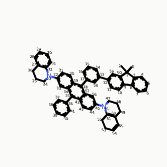 CC1(C)c2ccccc2-c2ccc(-c3cccc(-c4c5ccc(N6CCCc7ccccc76)cc5c(-c5ccccc5)c5ccc(N6CCCC7=C6CCC=C7)cc45)c3)cc21